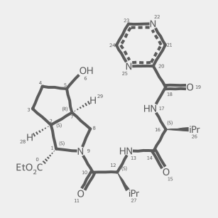 CCOC(=O)[C@@H]1[C@H]2CCC(O)[C@H]2CN1C(=O)[C@@H](NC(=O)[C@@H](NC(=O)c1cnccn1)C(C)C)C(C)C